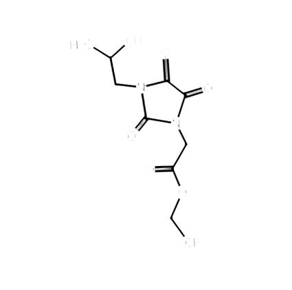 CCOC(=O)CN1C(=O)C(=O)N(CC(C)C)C1=O